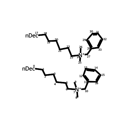 CCCCCCCCCCCCCCCC[N+](C)(C)Cc1ccccc1.CCCCCCCCCCCCCCCC[N+](C)(C)Cc1ccccc1